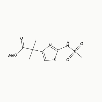 COC(=O)C(C)(C)c1csc(NS(C)(=O)=O)n1